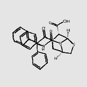 O=C(O)[C@@H]1[C@H]2SC[C@@H](CN1C(=O)C(c1ccccc1)c1ccccc1)N2C(=O)Nc1ccccc1